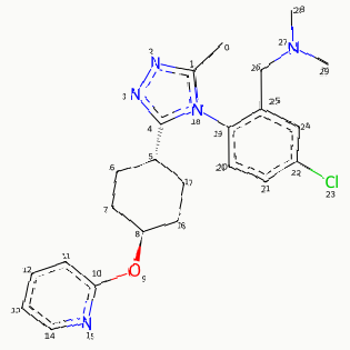 Cc1nnc([C@H]2CC[C@H](Oc3ccccn3)CC2)n1-c1ccc(Cl)cc1CN(C)C